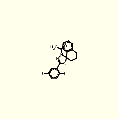 CC(=O)N1N=C(c2cc(F)ccc2F)SC12CCCc1ccccc12